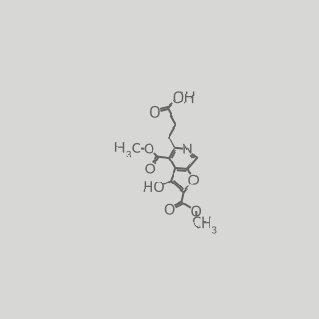 COC(=O)c1oc2cnc(CCC(=O)O)c(C(=O)OC)c2c1O